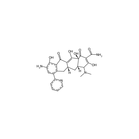 CN(C)C1C(O)=C(C(N)=O)C(=O)[C@@]2(O)C(O)=C3C(=O)c4c(O)c(N)cc(-c5ccccn5)c4C[C@H]3C[C@@H]12